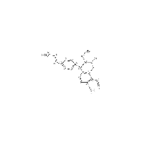 CC(C)CN1C(C)Cc2c(ccc(N)c2C=N)C1c1ccc(/C=C/C(=O)O)cc1